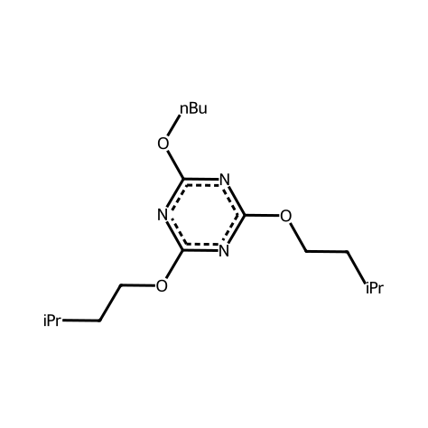 CCCCOc1nc(OCCC(C)C)nc(OCCC(C)C)n1